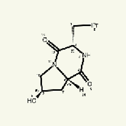 CC(C)C[C@@H]1NC(=O)[C@@H]2C[C@@H](O)CN2C1=O